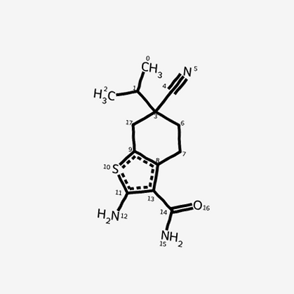 CC(C)C1(C#N)CCc2c(sc(N)c2C(N)=O)C1